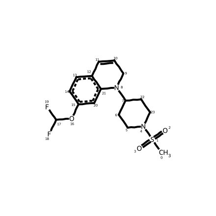 CS(=O)(=O)N1CCC(N2CC=Cc3ccc(OC(F)F)cc32)CC1